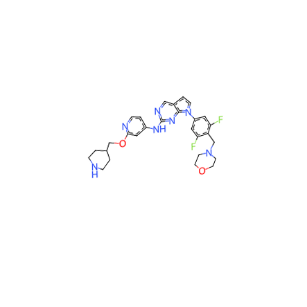 Fc1cc(-n2ccc3cnc(Nc4ccnc(OCC5CCNCC5)c4)nc32)cc(F)c1CN1CCOCC1